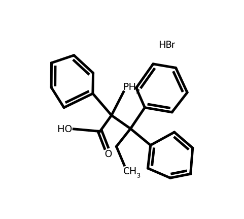 Br.CCC(c1ccccc1)(c1ccccc1)C(P)(C(=O)O)c1ccccc1